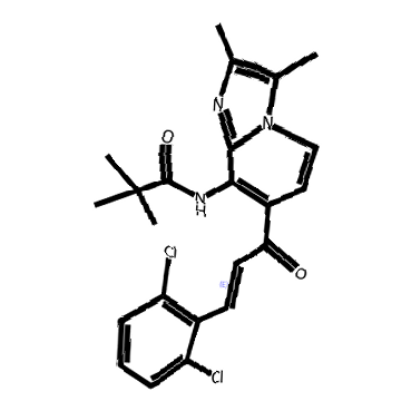 Cc1nc2c(NC(=O)C(C)(C)C)c(C(=O)/C=C/c3c(Cl)cccc3Cl)ccn2c1C